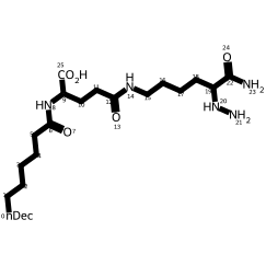 CCCCCCCCCCCCCCCC(=O)NC(CCC(=O)NCCCCC(NN)C(N)=O)C(=O)O